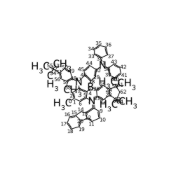 Cc1cc2c3c(c1)N(c1cccc4c1Cc1ccccc1-4)c1cc4c(cc1B3c1cc(N(c3ccccc3)c3ccccc3)ccc1N2c1ccc(C(C)(C)C)cc1C)C(C)(C)CC4(C)C